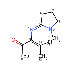 CCCCC(=O)C(/N=C1/CCCN1C)=C(\C)CC